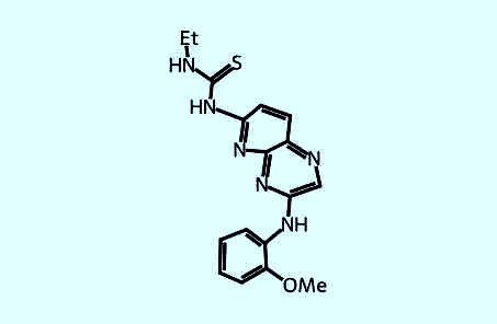 CCNC(=S)Nc1ccc2ncc(Nc3ccccc3OC)nc2n1